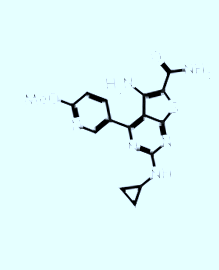 COc1ccc(-c2nc(NC3CC3)nc3sc(C(N)=O)c(N)c23)cn1